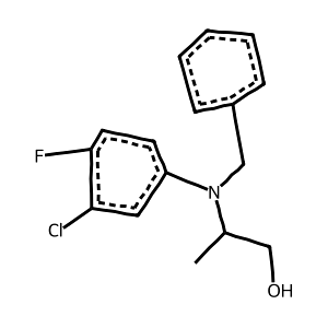 CC(CO)N(Cc1ccccc1)c1ccc(F)c(Cl)c1